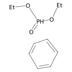 CCO[PH](=O)OCC.c1ccccc1